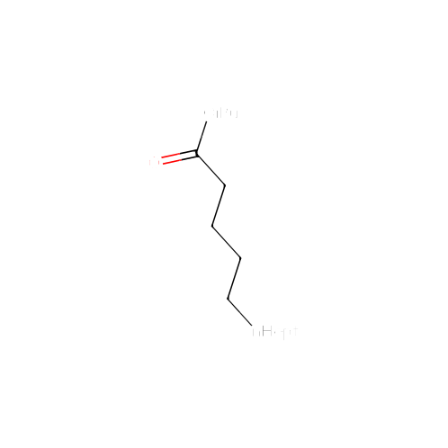 CCCCCCCCCCCC(=O)OCC(C)C